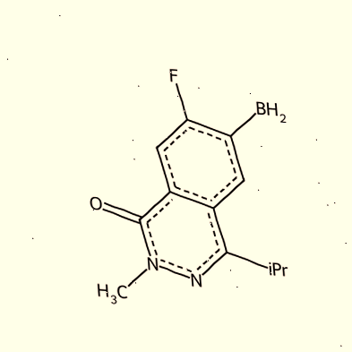 Bc1cc2c(C(C)C)nn(C)c(=O)c2cc1F